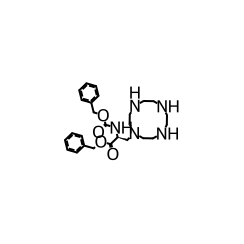 O=C(N[C@@H](CN1CCNCCNCCNCC1)C(=O)OCc1ccccc1)OCc1ccccc1